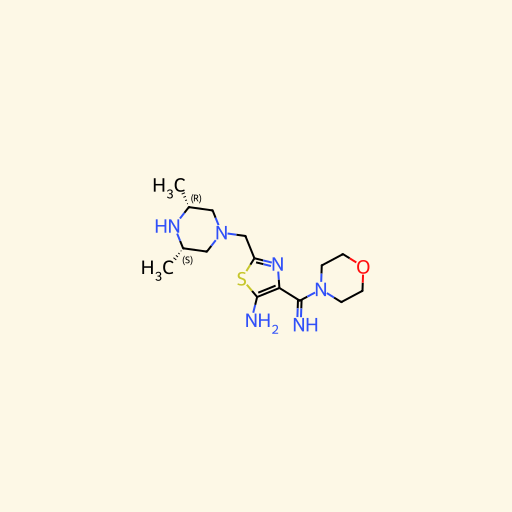 C[C@@H]1CN(Cc2nc(C(=N)N3CCOCC3)c(N)s2)C[C@H](C)N1